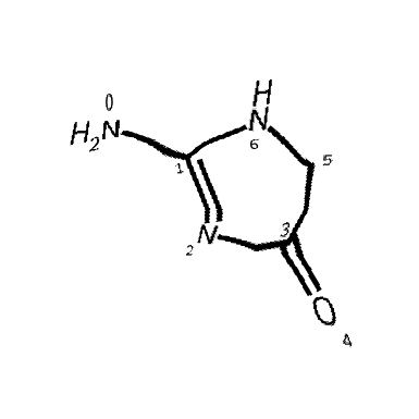 NC1=NC(=O)CN1